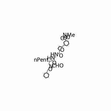 CCCCCC(CN(C=O)OCc1ccccc1)C(=O)NCNC(=O)c1ccc(-c2cccc(S(=O)(=O)NC)c2)o1